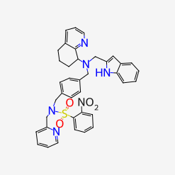 O=[N+]([O-])c1ccccc1S(=O)(=O)N(Cc1ccc(CN(Cc2cc3ccccc3[nH]2)C2CCCc3cccnc32)cc1)Cc1ccccn1